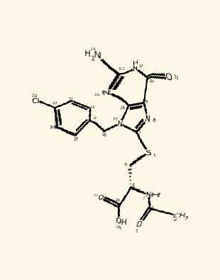 CC(=O)N[C@@H](CSc1nc2c(=O)[nH]c(N)nc2n1Cc1ccc(Cl)cc1)C(=O)O